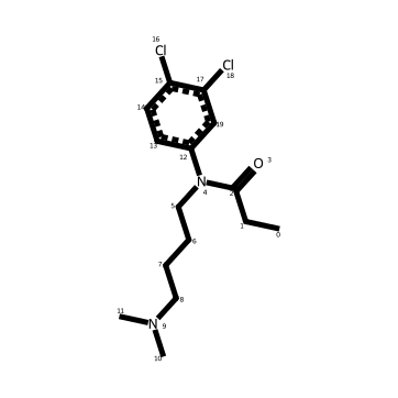 CCC(=O)N(CCCCN(C)C)c1ccc(Cl)c(Cl)c1